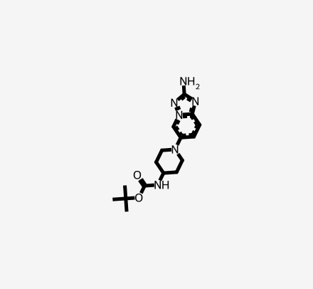 CC(C)(C)OC(=O)NC1CCN(c2ccc3nc(N)nn3c2)CC1